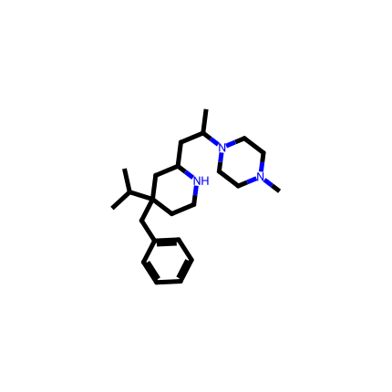 CC(CC1CC(Cc2ccccc2)(C(C)C)CCN1)N1CCN(C)CC1